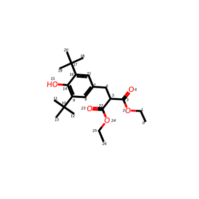 CCOC(=O)C(Cc1cc(C(C)(C)C)c(O)c(C(C)(C)C)c1)C(=O)OCC